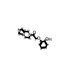 O=C(COc1ccccc1O)N1CCn2cncc2C1